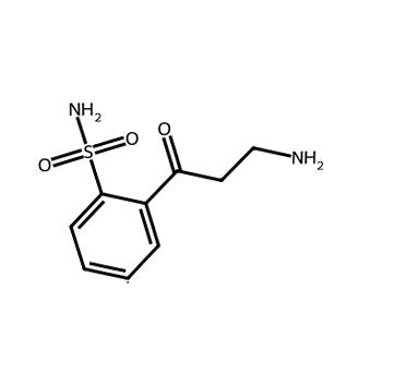 NCCC(=O)c1c[c]ccc1S(N)(=O)=O